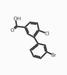 O=C(O)c1ccc(Cl)c(-c2cccc(Br)c2)c1